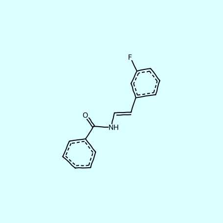 O=C(NC=Cc1cccc(F)c1)c1ccccc1